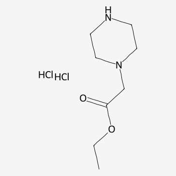 CCOC(=O)CN1CCNCC1.Cl.Cl